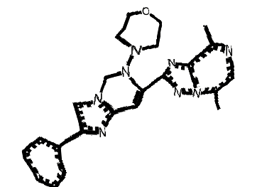 Cc1ncc(C)n2nc(C3=Cc4nc(-c5ccccc5)cn4CN3N3CCOCC3)nc12